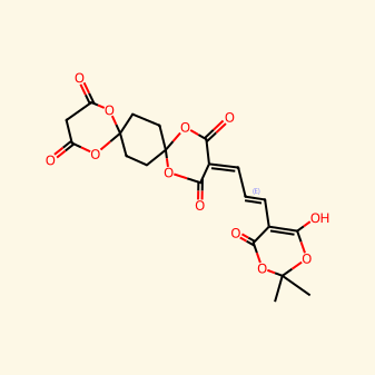 CC1(C)OC(=O)C(/C=C/C=C2C(=O)OC3(CCC4(CC3)OC(=O)CC(=O)O4)OC2=O)=C(O)O1